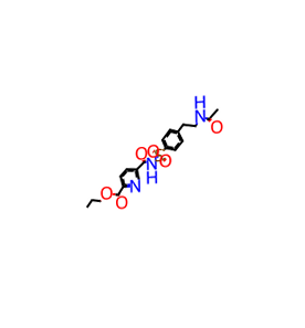 CCCOC(=O)c1ccc(C(=O)NS(=O)(=O)c2ccc(CCNC(C)=O)cc2)cn1